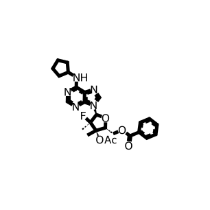 CC(=O)O[C@@]1(C)[C@@H](COC(=O)c2ccccc2)O[C@H](n2cnc3c(NC4CCCC4)ncnc32)[C@]1(C)F